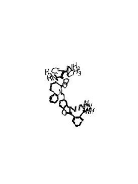 CC(C)(N)C(=O)N[C@@H]1CCc2ccccc2N(Cc2ccc3oc(-c4ccccc4-c4nnn[nH]4)nc3c2)C1=O